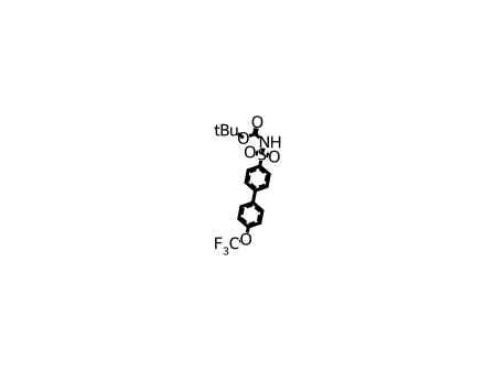 CC(C)(C)OC(=O)NS(=O)(=O)c1ccc(-c2ccc(OC(F)(F)F)cc2)cc1